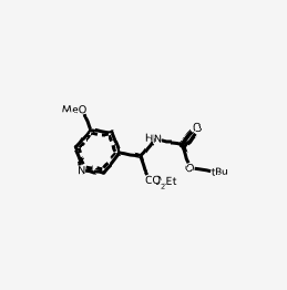 CCOC(=O)C(NC(=O)OC(C)(C)C)c1cncc(OC)c1